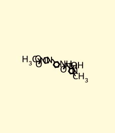 COC(=O)N1CCN(Cc2cccc(NC(=O)Nc3ccc(C)nc3O)c2)CC1